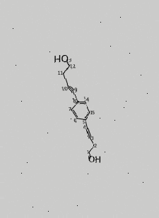 OCCC#Cc1ccc(C#CCCO)cc1